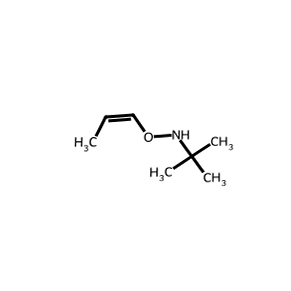 C/C=C\ONC(C)(C)C